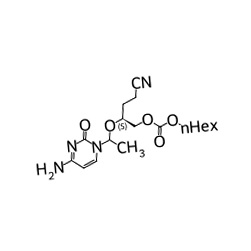 CCCCCCOC(=O)OC[C@H](CCC#N)OC(C)n1ccc(N)nc1=O